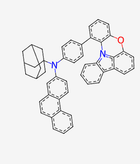 c1cc2c(c(-c3ccc(N(c4ccc5c(ccc6ccccc65)c4)C45CC6CC(CC(C6)C4)C5)cc3)c1)-n1c3ccccc3c3cccc(c31)O2